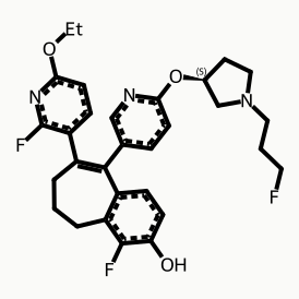 CCOc1ccc(C2=C(c3ccc(O[C@H]4CCN(CCCF)C4)nc3)c3ccc(O)c(F)c3CCC2)c(F)n1